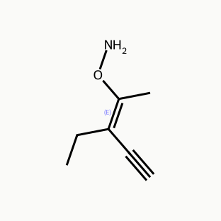 C#C/C(CC)=C(\C)ON